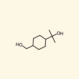 CC(C)(O)C1CCC(CO)CC1